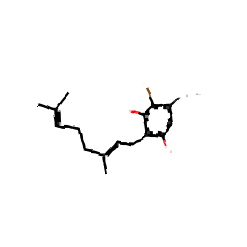 CCCCCc1cc(O)c(C/C=C(\C)CCC=C(C)C)c(O)c1Br